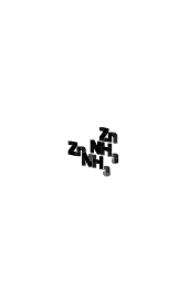 N.N.[Zn].[Zn]